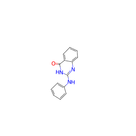 O=c1[nH]c(Nc2ccccc2)nc2ccccc12